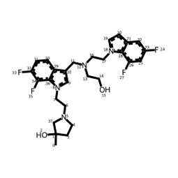 CC1(O)CCN(CCn2cc(CN(CCO)CCn3ccc4cc(F)cc(F)c43)c3ccc(F)c(F)c32)C1